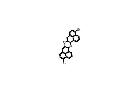 CCC1=Cc2ccc(CC)c3cccc(c23)C1OC1C(CC)=Cc2ccc(CC)c3cccc1c23